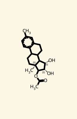 CC(=O)OC1[C@@H](O)[C@@H](O)C2C3CCc4cc(C)ccc4C3CC[C@]12C